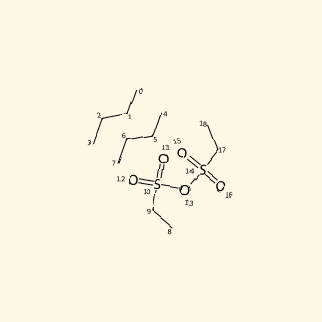 CCCC.CCCC.CCS(=O)(=O)OS(=O)(=O)CC